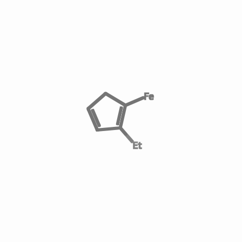 CCC1=[C]([Fe])CC=C1